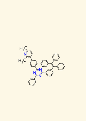 Cc1ccc(-c2ccc(-c3nc(-c4ccccc4)nc(-c4cccc(C(=C(c5ccccc5)c5ccccc5)c5ccccc5)c4)n3)cc2)c(C)n1